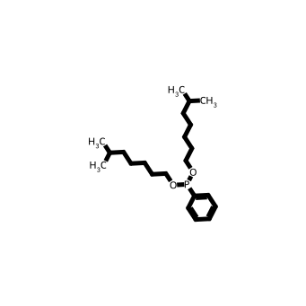 CC(C)CCCCCOP(OCCCCCC(C)C)c1ccccc1